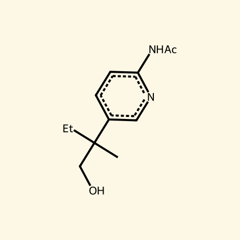 CCC(C)(CO)c1ccc(NC(C)=O)nc1